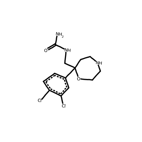 NC(=O)NCC1(c2ccc(Cl)c(Cl)c2)CCNCCO1